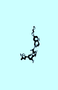 COCCOc1cnc2c(c1)CN([C@H](C)c1nnc3c(F)cc(-c4cc(C)no4)cn13)C=C2